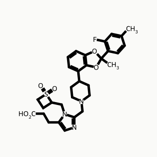 Cc1ccc(C2(C)Oc3cccc(C4CCN(Cc5ncc(CCC(=O)O)n5CC5CCS5(=O)=O)CC4)c3O2)c(F)c1